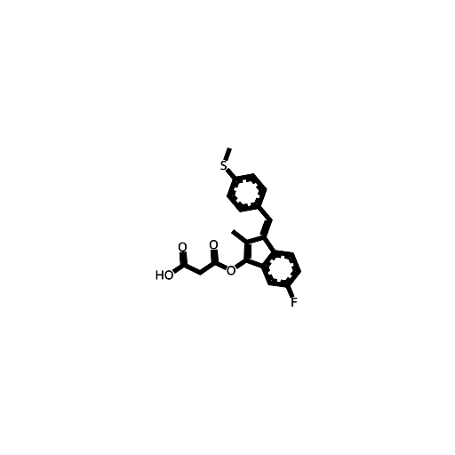 CSc1ccc(C=C2C(C)=C(OC(=O)CC(=O)O)c3cc(F)ccc32)cc1